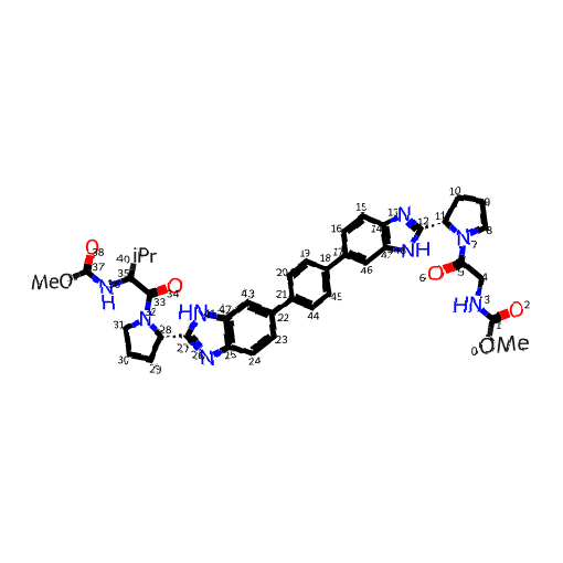 COC(=O)NCC(=O)N1CCC[C@H]1c1nc2ccc(-c3ccc(-c4ccc5nc([C@@H]6CCCN6C(=O)C(NC(=O)OC)C(C)C)[nH]c5c4)cc3)cc2[nH]1